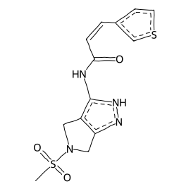 CS(=O)(=O)N1Cc2n[nH]c(NC(=O)/C=C\c3ccsc3)c2C1